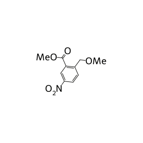 COCc1ccc([N+](=O)[O-])cc1C(=O)OC